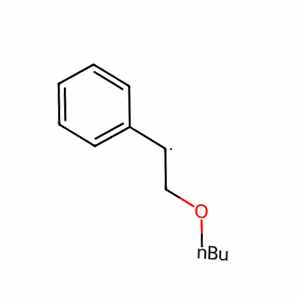 CCCCOC[CH]c1ccccc1